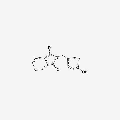 CCn1c2ccccc2c(=O)n1Cc1ccc(O)cc1